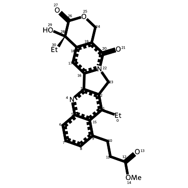 CCc1c2c(nc3cccc(CCC(=O)OC)c13)-c1cc3c(c(=O)n1C2)COC(=O)[C@]3(O)CC